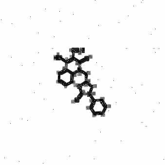 O=C(O)c1c(O)c2ccccc2n(C[C@H]2CN(c3ccccc3)C(=O)O2)c1=O